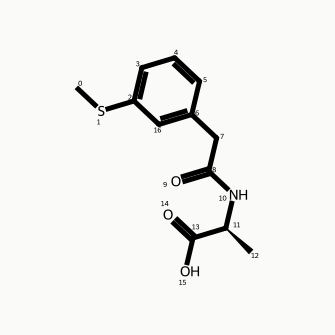 CSc1cccc(CC(=O)N[C@@H](C)C(=O)O)c1